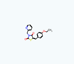 CCOc1ccc(C=C2SC(=O)N(Cc3ccccn3)C2=O)cc1